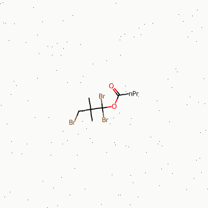 CCCC(=O)OC(Br)(Br)C(C)(C)CBr